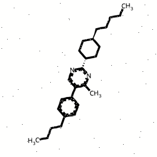 CCCCC[C@H]1CC[C@H](c2ncc(-c3ccc(CCCC)cc3)c(C)n2)CC1